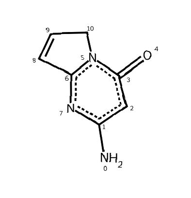 Nc1cc(=O)n2c(n1)C=CC2